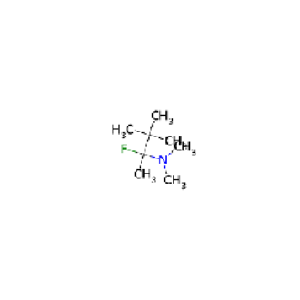 CN(C)C(C)(F)C(C)(C)C